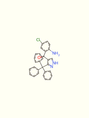 Nc1ccc(Cl)cc1C(=O)c1c[nH]nc1C(c1ccccc1)(c1ccccc1)c1ccccc1